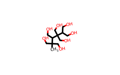 CC(CO)(CO)C(CO)C(CO)(CO)C(CO)CO